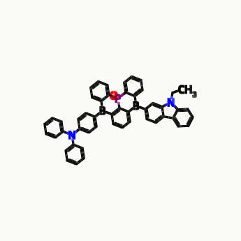 CCn1c2ccccc2c2ccc(B3c4ccccc4P4(=O)c5ccccc5B(c5ccc(N(c6ccccc6)c6ccccc6)cc5)c5cccc3c54)cc21